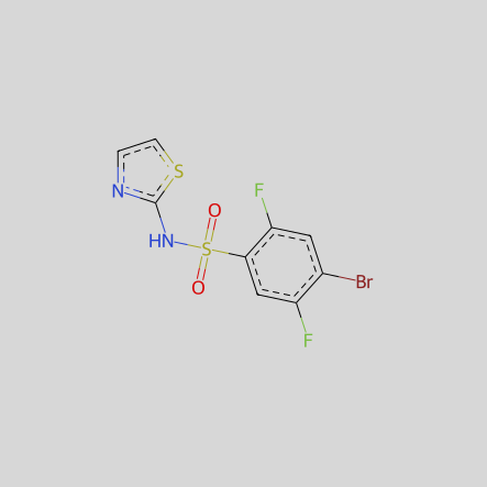 O=S(=O)(Nc1nccs1)c1cc(F)c(Br)cc1F